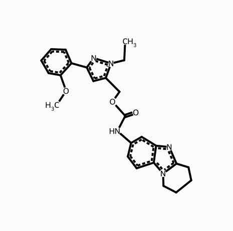 CCn1nc(-c2ccccc2OC)cc1COC(=O)Nc1ccc2c(c1)nc1n2CCCC1